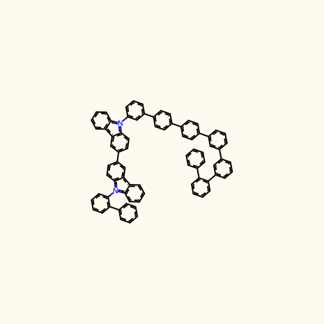 c1ccc(-c2ccccc2-c2cccc(-c3cccc(-c4ccc(-c5ccc(-c6cccc(-n7c8ccccc8c8cc(-c9ccc%10c(c9)c9ccccc9n%10-c9ccccc9-c9ccccc9)ccc87)c6)cc5)cc4)c3)c2)cc1